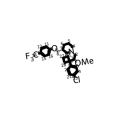 CO[C@@H](CN1CCC[C@@H](COc2ccc(C(F)(F)F)cc2)C1)C1(c2ccc(Cl)cc2)CCC1